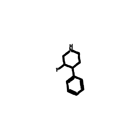 FC1CNCCC1c1ccccc1